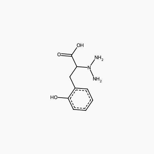 NN(N)C(Cc1ccccc1O)C(=O)O